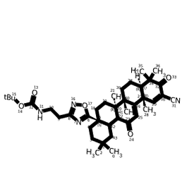 CC1(C)CC[C@]2(c3nc(CCNC(=O)OC(C)(C)C)no3)CC[C@]3(C)C(C(=O)C=C4[C@@]5(C)C=C(C#N)C(=O)C(C)(C)[C@@H]5CC[C@]43C)C2C1